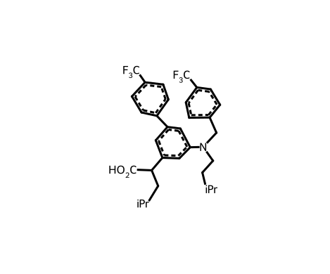 CC(C)CCN(Cc1ccc(C(F)(F)F)cc1)c1cc(-c2ccc(C(F)(F)F)cc2)cc(C(CC(C)C)C(=O)O)c1